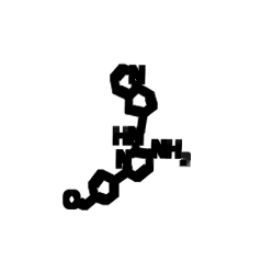 Nc1ccc(-c2ccc(C=O)cc2)nc1NCc1ccc2ncccc2c1